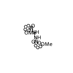 COc1ccc2ccc3ccc4c(c3c2c1)C(=O)N(CCNCCCNCCN1C(=O)c2ccc3ccc5ccc(OC)cc5c3c2C1=O)C4=O